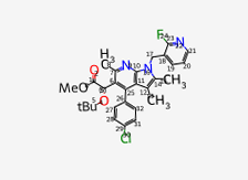 COC(=O)[C@@H](OC(C)(C)C)c1c(C)nc2c(c(C)c(C)n2Cc2cccnc2F)c1-c1ccc(Cl)cc1